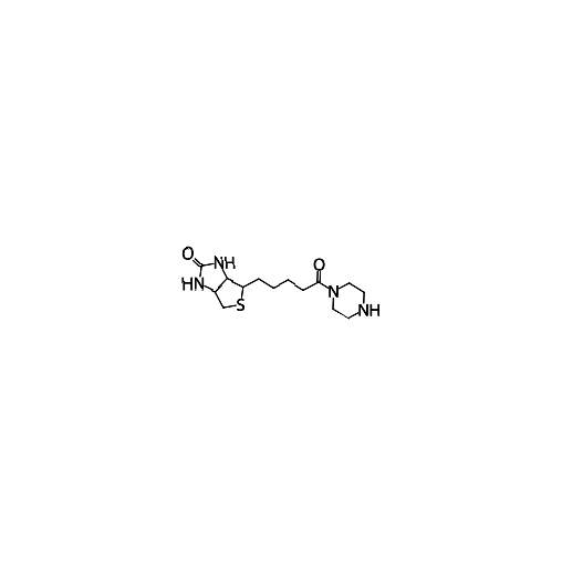 O=C1NC2CSC(CCCCC(=O)N3CCNCC3)C2N1